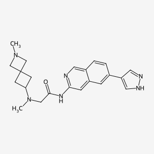 CN1CC2(CC(N(C)CC(=O)Nc3cc4cc(-c5cn[nH]c5)ccc4cn3)C2)C1